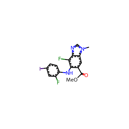 COC(=O)c1cc2c(ncn2C)c(F)c1Nc1ccc(I)cc1F